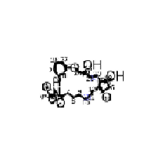 CS(=O)(=O)NC(=O)CCC/C=C\C[C@H]1C(=O)C[C@@H](O)[C@@H]1/C=C/[C@@H](O)COc1ccccc1